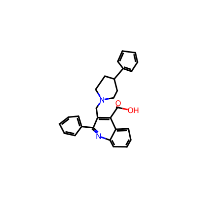 O=C(O)c1c(CN2CCC(c3ccccc3)CC2)c(-c2ccccc2)nc2ccccc12